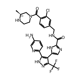 C[C@H]1CN(C(=O)c2ccc(CNC(=O)c3ncc(-c4c(C(F)(F)F)n[nH]c4-c4ccc(N)cn4)[nH]3)cc2Cl)CCN1